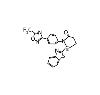 O=C1CCC[C@@H](c2nc3ccccc3s2)N1c1ccc(-c2noc(C(F)(F)F)n2)cc1